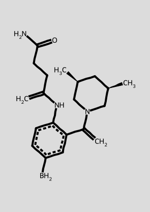 Bc1ccc(NC(=C)CCC(N)=O)c(C(=C)N2C[C@H](C)C[C@H](C)C2)c1